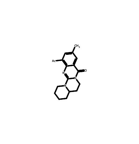 CC(=O)c1cc(C)cc2c(=O)n3c(nc12)N1CCCCC1CC3